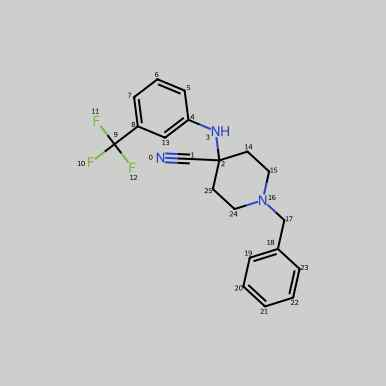 N#CC1(Nc2cccc(C(F)(F)F)c2)CCN(Cc2ccccc2)CC1